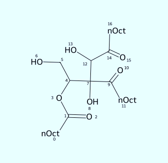 CCCCCCCCC(=O)OC(CO)C(O)(C(=O)CCCCCCCC)C(O)C(=O)CCCCCCCC